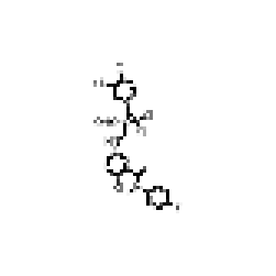 CN(C(=O)c1cc(NCC2(C=O)C(c3ccc(Cl)c(Cl)c3)C2(Cl)Cl)ccc1Cl)c1ccc(F)cc1